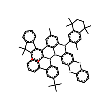 Cc1cc2c3c(c1)N(c1cc4c(cc1C)C(C)(C)CCC4(C)C)c1cc4c(cc1B3N(c1ccc(C(C)(C)C)cc1-c1ccccc1)c1ccc3c(c1-2)-c1ccccc1C3(C)C)Oc1ccccc1O4